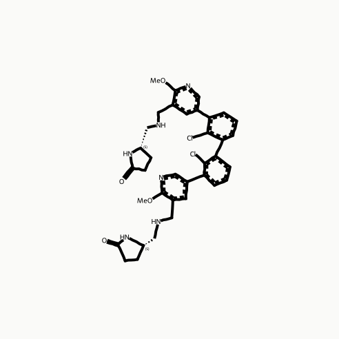 COc1ncc(-c2cccc(-c3cccc(-c4cnc(OC)c(CNC[C@@H]5CCC(=O)N5)c4)c3Cl)c2Cl)cc1CNC[C@@H]1CCC(=O)N1